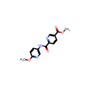 COC(=O)c1ccc(C(=O)Nc2ccc(OC)nc2)nc1